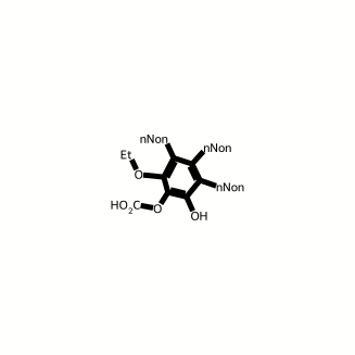 CCCCCCCCCc1c(O)c(OC(=O)O)c(OCC)c(CCCCCCCCC)c1CCCCCCCCC